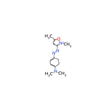 Cc1cc(N=NC2=CC=C(N(C)C)CC2)[n+](C)o1